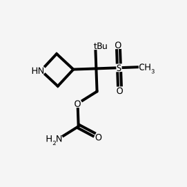 CC(C)(C)C(COC(N)=O)(C1CNC1)S(C)(=O)=O